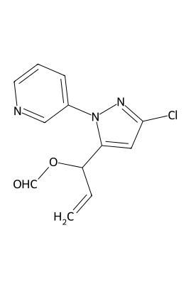 C=CC(OC=O)c1cc(Cl)nn1-c1cccnc1